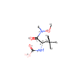 BC(=O)N[C@H](C(=O)N(C)OC)C(C)(C)C